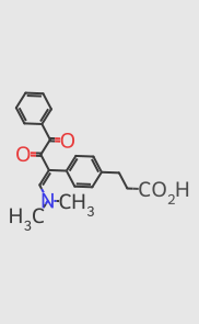 CN(C)C=C(C(=O)C(=O)c1ccccc1)c1ccc(CCC(=O)O)cc1